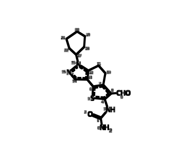 NC(=O)Nc1sc2c(c1C=O)CCc1c-2cnn1C1CCCCC1